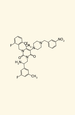 Cc1cc(F)cc(C(N)Cn2c(=O)c(N3CCN(Cc4cccc([N+](=O)[O-])c4)CC3)c(C)n(Cc3c(F)cccc3C(F)(F)F)c2=O)c1